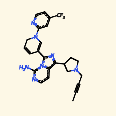 CC#CCN1CCC(c2nc(C3=CN(c4cc(C(F)(F)F)ccn4)CC=C3)n3c(N)nccc23)C1